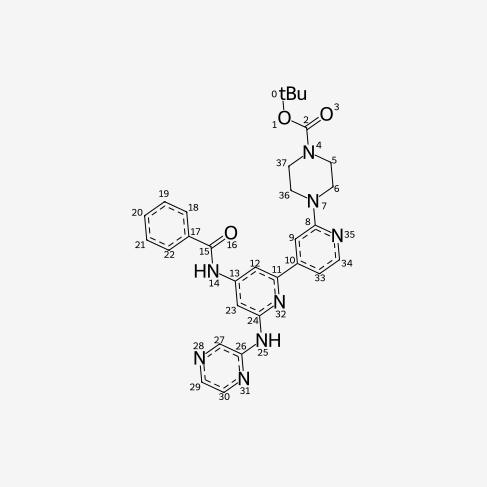 CC(C)(C)OC(=O)N1CCN(c2cc(-c3cc(NC(=O)c4ccccc4)cc(Nc4cnccn4)n3)ccn2)CC1